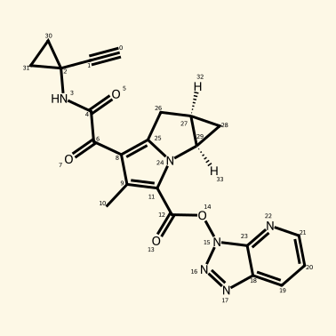 C#CC1(NC(=O)C(=O)c2c(C)c(C(=O)On3nnc4cccnc43)n3c2C[C@H]2C[C@H]23)CC1